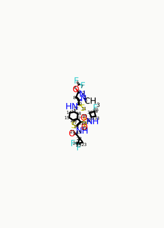 Cn1nc(OC(F)F)cc1C(=S)N[C@H]1CCc2sc(NC(=O)C3CC3(F)F)c(S(=O)(=O)N[C@H]3C[C@@H](F)C3)c2C1